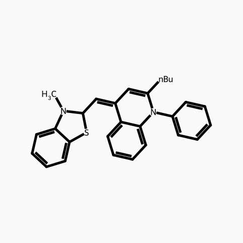 CCCCC1=C/C(=C/C2Sc3ccccc3N2C)c2ccccc2N1c1ccccc1